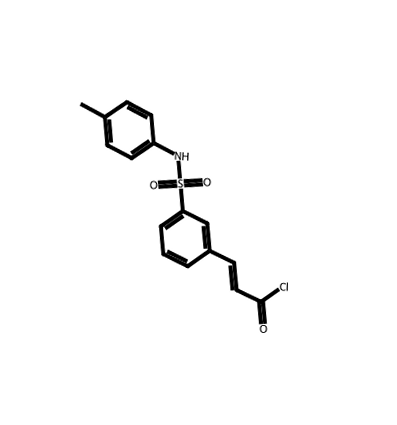 Cc1ccc(NS(=O)(=O)c2cccc(/C=C/C(=O)Cl)c2)cc1